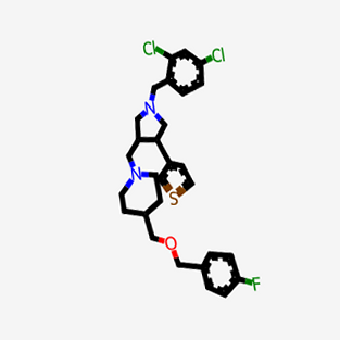 Fc1ccc(COCC2CCN(CC3CN(Cc4ccc(Cl)cc4Cl)CC3c3ccsc3)CC2)cc1